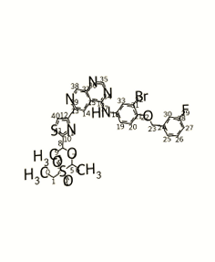 CCS(=O)(=O)C(C)OC(C)c1nc(-c2cc3c(Nc4ccc(OCc5cccc(F)c5)c(Br)c4)ncnc3cn2)cs1